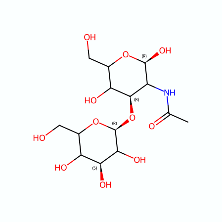 CC(=O)NC1[C@@H](O[C@@H]2OC(CO)C(O)[C@H](O)C2O)C(O)C(CO)O[C@H]1O